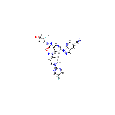 CC(C)(O)C(F)CNC(=O)c1cnc(-n2ncc3cc(C#N)cnc32)cc1NC1CCN(c2ncc(F)cn2)CC1